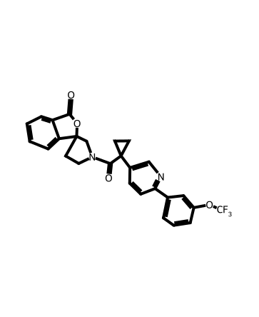 O=C1OC2(CCN(C(=O)C3(c4ccc(-c5cccc(OC(F)(F)F)c5)nc4)CC3)C2)c2ccccc21